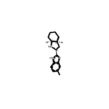 Cc1ccc2[nH]c([C@@H]3C[C@@H]4CCCC[C@@H]4N3)nc2c1